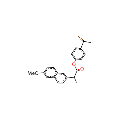 COc1ccc2cc(C(C)C(=O)Oc3ccc(C(C)=S)cc3)ccc2c1